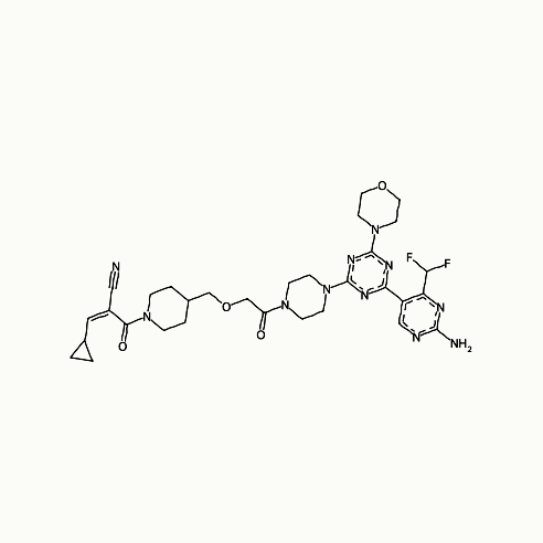 N#C/C(=C/C1CC1)C(=O)N1CCC(COCC(=O)N2CCN(c3nc(-c4cnc(N)nc4C(F)F)nc(N4CCOCC4)n3)CC2)CC1